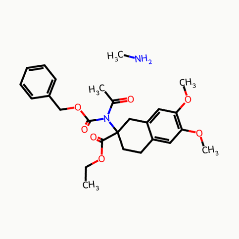 CCOC(=O)C1(N(C(C)=O)C(=O)OCc2ccccc2)CCc2cc(OC)c(OC)cc2C1.CN